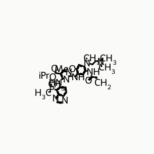 C=CC(=O)Nc1cc(Nc2ncc(C(=O)OC(C)C)c(Nc3ccc4nccnc4c3P(C)C)n2)c(OC)cc1N(C)CCN(C)C